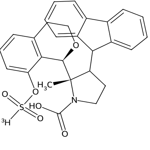 [3H]S(=O)(=O)Oc1cccc2c1[C@H]([C@]1(C)C(C3c4ccccc4-c4ccccc43)CCN1C(=O)O)OCC2